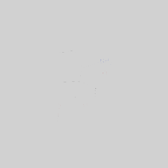 COC(=O)C1(C(C)=O)CCCCC1N